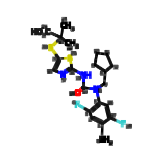 Bc1cc(F)c(N(CC2CCCC2)C(=O)Nc2ncc(SC(C)(C)C(=O)O)s2)cc1F